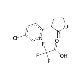 Clc1ccc([C@@H]2CCON2)nc1.O=C(O)C(F)(F)F